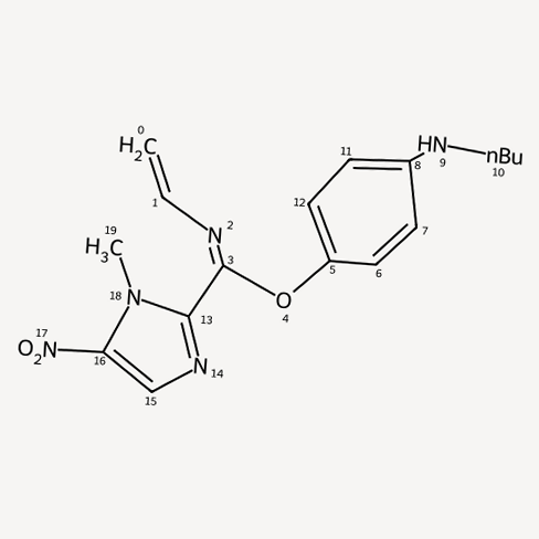 C=CN=C(Oc1ccc(NCCCC)cc1)c1ncc([N+](=O)[O-])n1C